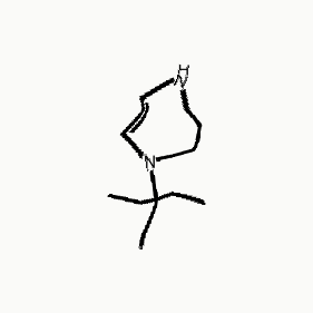 CC(C)(C)N1C=CNCC1